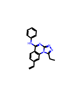 C=Cc1ccc2c(Nc3ccccc3)nc3nnc(CC)n3c2c1